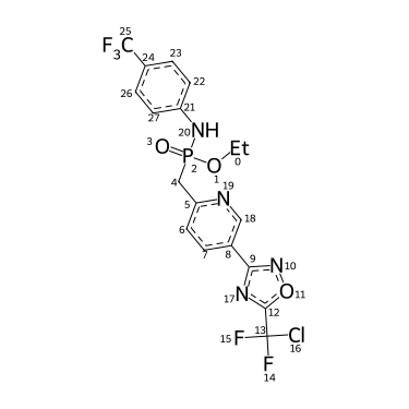 CCOP(=O)(Cc1ccc(-c2noc(C(F)(F)Cl)n2)cn1)Nc1ccc(C(F)(F)F)cc1